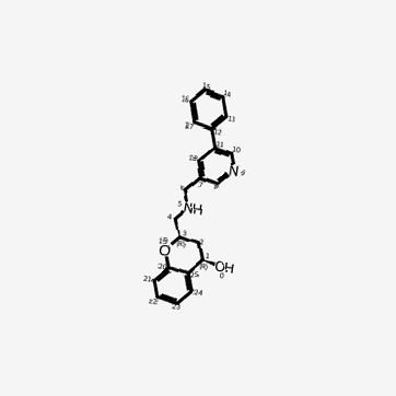 O[C@@H]1C[C@H](CNCc2cncc(-c3ccccc3)c2)Oc2ccccc21